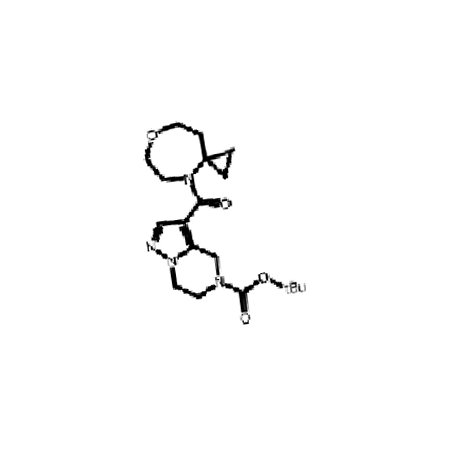 CC(C)(C)OC(=O)N1CCn2ncc(C(=O)N3CCOCCC34CC4)c2C1